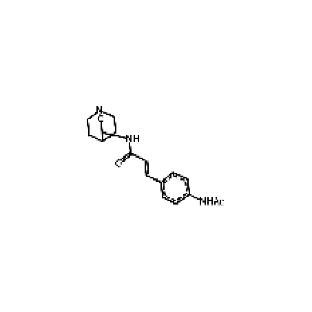 CC(=O)Nc1ccc(C=CC(=O)NC2CN3CCC2CC3)cc1